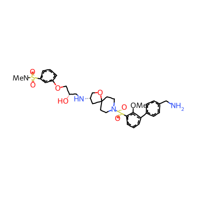 CNS(=O)(=O)c1cccc(OC[C@@H](O)CN[C@@H]2COC3(CCN(S(=O)(=O)c4cccc(-c5ccc(CN)cc5)c4OC)CC3)C2)c1